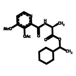 COc1ccnc(C(=O)N[C@@H](C)C(=O)OC(C)C2CCCCC2)c1OC(C)=O